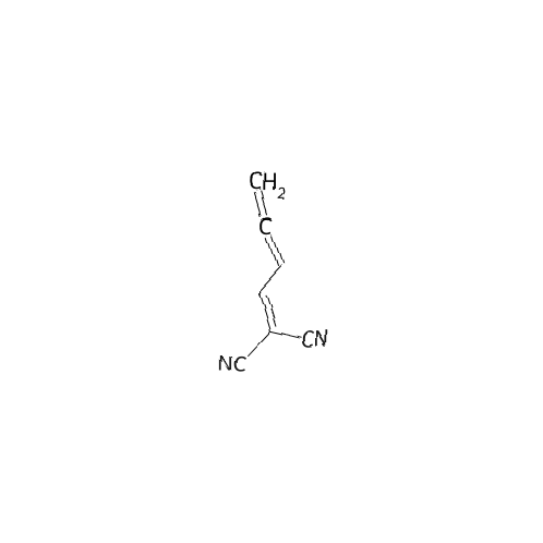 C=C=CC=C(C#N)C#N